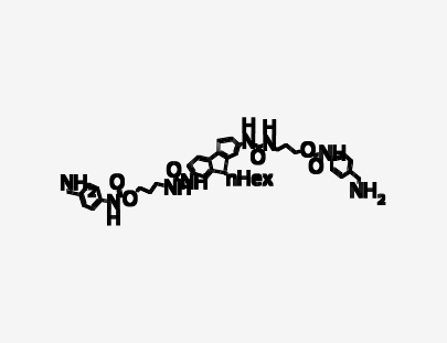 CCCCCCC1c2cc(NC(=O)NCCCOC(=O)Nc3ccc(CN)cc3)ccc2-c2ccc(NC(=O)NCCCOC(=O)Nc3ccc(CN)cc3)cc21